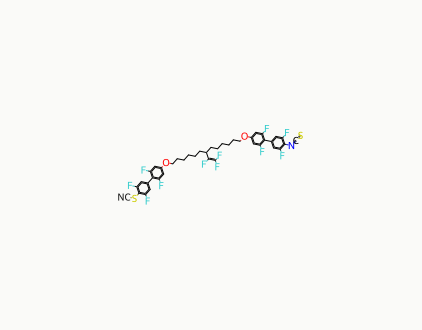 N#CSc1c(F)cc(-c2c(F)cc(OCCCCCCC(CCCCCCOc3cc(F)c(-c4cc(F)c(N=C=S)c(F)c4)c(F)c3)C(F)=C(F)F)cc2F)cc1F